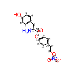 NC(Cc1ccc(O)cc1)C(=O)Oc1ccc(CCO[N+](=O)[O-])cc1